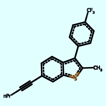 CCCC#Cc1ccc2c(-c3ccc(C(F)(F)F)cc3)c(C)sc2c1